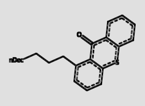 CCCCCCCCCCCCCc1cccc2sc3ccccc3c(=O)c12